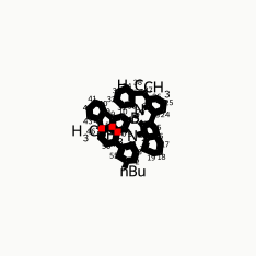 CCCCc1ccc(N2c3cc4c(cc3B3c5c(cc6ccccc6c52)-c2cccc5c2N3c2ccccc2C5(C)C)-c2ccccc2C4(C)C)c(-c2ccccc2)c1